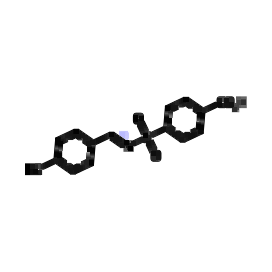 N#Cc1ccc(/C=N/S(=O)(=O)c2ccc(C(=O)O)cc2)cc1